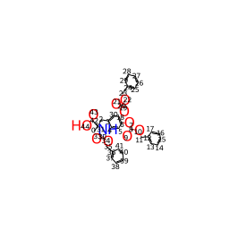 C[C@@](Cc1ccc(OC(=O)OCc2ccccc2)c(OC(=O)OCc2ccccc2)c1)(NC(=O)OCc1ccccc1)C(=O)O